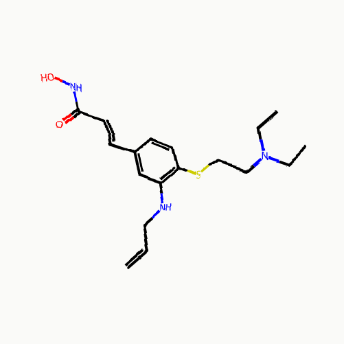 C=CCNc1cc(C=CC(=O)NO)ccc1SCCN(CC)CC